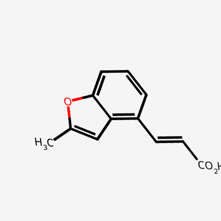 Cc1cc2c(C=CC(=O)O)cccc2o1